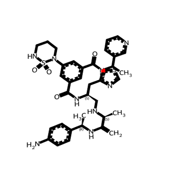 C=C(N[C@H](C)c1ccc(N)cc1)[C@H](C)NC[C@H](Cc1cscn1)NC(=O)c1cc(C(=O)NC(C)c2cccnc2)cc(N2CCCNS2(=O)=O)c1